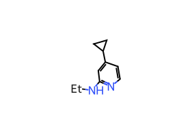 CCNc1cc(C2CC2)ccn1